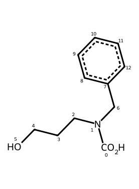 O=C(O)N(CCCO)Cc1ccccc1